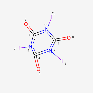 O=c1n(I)c(=O)n(I)c(=O)n1I